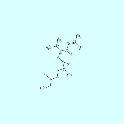 CCC(I)CCC1(C)CC1CN(C(=O)C=C(C)C)C(C)C